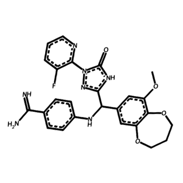 COc1cc(C(Nc2ccc(C(=N)N)cc2)c2nn(-c3ncccc3F)c(=O)[nH]2)cc2c1OCCCO2